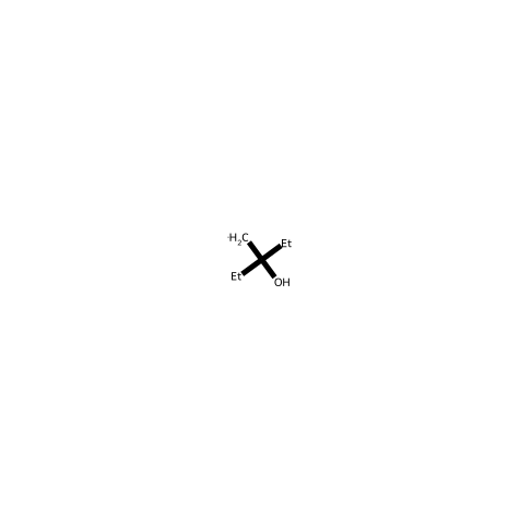 [CH2]C(O)(CC)CC